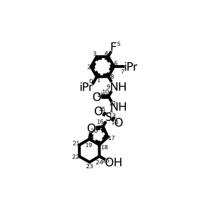 CC(C)c1ccc(F)c(C(C)C)c1NC(=O)NS(=O)(=O)c1cc2c(o1)CCCC2O